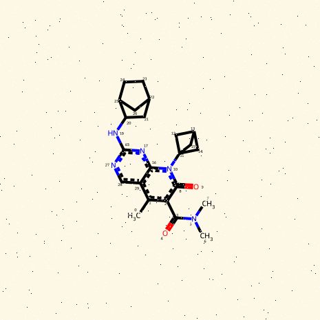 Cc1c(C(=O)N(C)C)c(=O)n(C23CC(C2)C3)c2nc(NC3CC4CCC3C4)ncc12